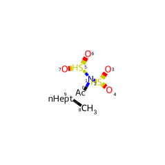 CC(=O)N([SH](=O)=O)[SH](=O)=O.CCCCCCCC